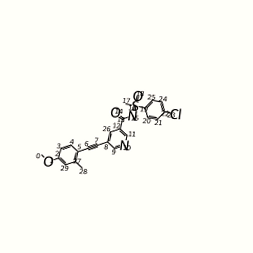 COc1ccc(C#Cc2cncc(C(=O)N=S(C)(=O)c3ccc(Cl)cc3)c2)c(C)c1